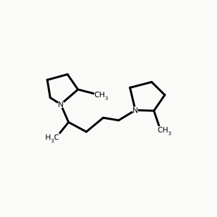 CC1CCCN1CCCC(C)N1CCCC1C